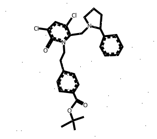 CC(C)(C)OC(=O)c1ccc(CCn2c(CN3CCCC3c3ccccc3)c(Cl)cc(Cl)c2=O)cc1